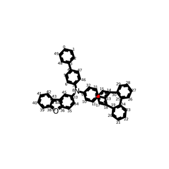 c1ccc(-c2ccc(N(c3ccc(-c4c5cccc4-c4ccccc4-c4ccccc4-5)cc3)c3ccc4oc5ccccc5c4c3)cc2)cc1